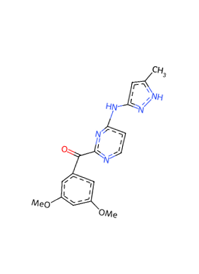 COc1cc(OC)cc(C(=O)c2nccc(Nc3cc(C)[nH]n3)n2)c1